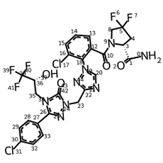 NC(=O)[C@H]1CC(F)(F)CN1C(=O)c1cccc(Cl)c1-n1cnc(Cn2nc(-c3ccc(Cl)cc3)n(C[C@@H](O)C(F)(F)F)c2=O)n1